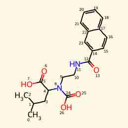 CC(C)CC(C(=O)O)N(CCNC(=O)c1ccc2ccccc2c1)C(=O)O